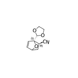 N#C[C@H]1CC2C=C[C@]1(C1OCCO1)O2